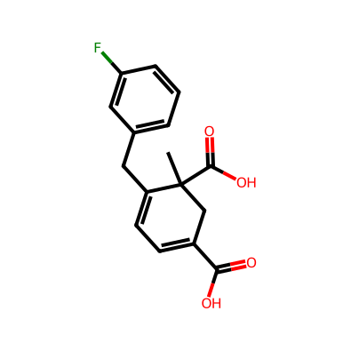 CC1(C(=O)O)CC(C(=O)O)=CC=C1Cc1cccc(F)c1